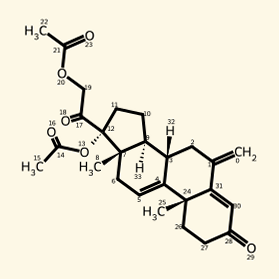 C=C1C[C@@H]2C(=CC[C@@]3(C)[C@H]2CC[C@]3(OC(C)=O)C(=O)COC(C)=O)[C@@]2(C)CCC(=O)C=C12